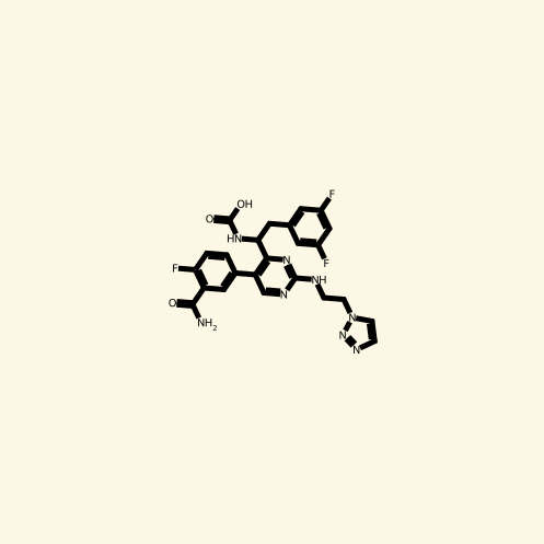 NC(=O)c1cc(-c2cnc(NCCn3ccnn3)nc2C(Cc2cc(F)cc(F)c2)NC(=O)O)ccc1F